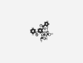 CCC(=O)N=C(NC(=O)OC)Nc1cc([S+]([O-])c2ccccc2)ccc1NC(=O)C1CCCC1